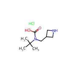 CC(C)(C)N(CC1CNC1)C(=O)O.Cl